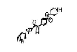 O=C(Nc1ccc(S(=O)(=O)C2CCNCC2)cc1)C1CN(c2ccnnc2)C1